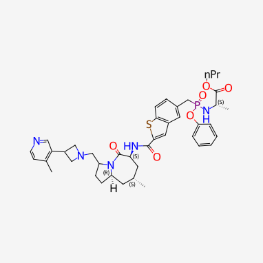 CCCOC(=O)[C@H](C)NP(=O)(Cc1ccc2sc(C(=O)N[C@H]3C[C@H](C)C[C@H]4CCC(CN5CC(c6cnccc6C)C5)N4C3=O)cc2c1)Oc1ccccc1